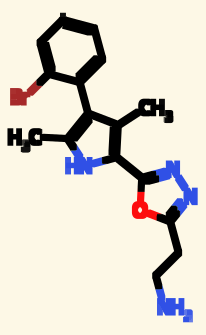 Cc1[nH]c(-c2nnc(CCN)o2)c(C)c1-c1cc[c]cc1Br